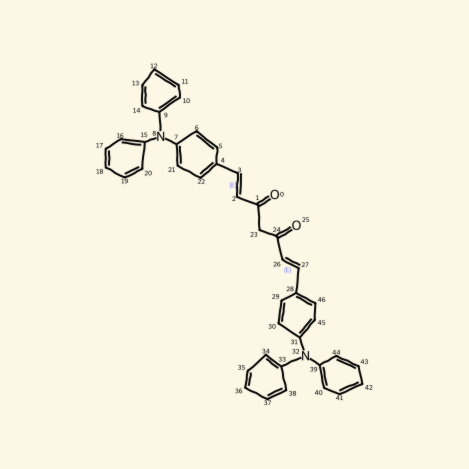 O=C(/C=C/c1ccc(N(c2ccccc2)c2ccccc2)cc1)CC(=O)/C=C/c1ccc(N(c2ccccc2)c2ccccc2)cc1